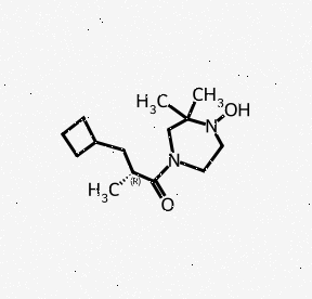 C[C@H](CC1CCC1)C(=O)N1CCN(O)C(C)(C)C1